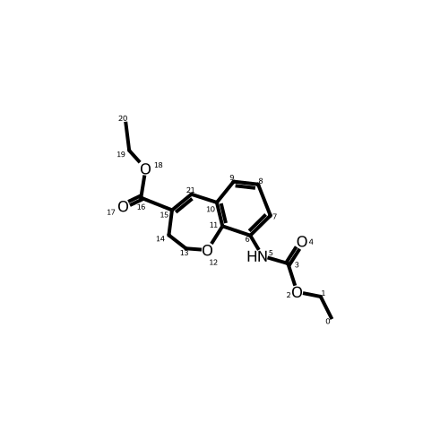 CCOC(=O)Nc1cccc2c1OCCC(C(=O)OCC)=C2